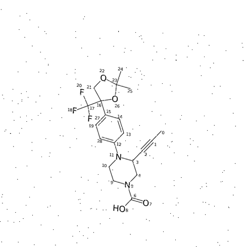 CC#CC1CN(C(=O)O)CCN1c1ccc(C2(C(F)(F)F)COC(C)(C)O2)cc1